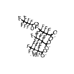 O=C([O-])C(F)(F)C(F)(F)C(F)(F)F.O=C([O-])C(F)(F)C(F)(F)C(F)(F)F.O=C([O-])C(F)(F)C(F)(F)C(F)(F)F.O=C([O-])C(F)(F)C(F)(F)C(F)(F)F.[Rh+4]